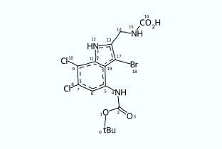 CC(C)(C)OC(=O)Nc1cc(Cl)c(Cl)c2[nH]c(CNC(=O)O)c(Br)c12